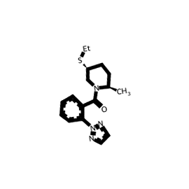 CCS[C@@H]1CC[C@@H](C)N(C(=O)c2ccccc2-n2nccn2)C1